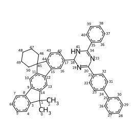 CC1(C)c2ccccc2-c2cc3c(cc21)-c1cc(C2N=C(c4ccc(-c5ccccc5)cc4)N=C(c4ccccc4)N2)ccc1C31CCCCC1